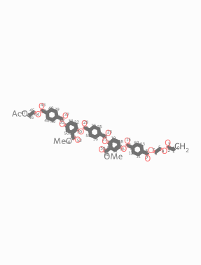 C=CC(=O)OCCOC(=O)C1CCC(C(=O)Oc2ccc(OC(=O)C3CCC(C(=O)Oc4ccc(OC(=O)C5CCC(C(=O)OCCOC(C)=O)CC5)cc4C(=O)OC)CC3)c(C(=O)OC)c2)CC1